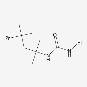 CCNC(=O)NC(C)(C)CC(C)(C)C(C)C